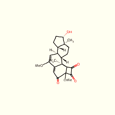 COC1=C[C@H]2[C@@H]3CC[C@H](O)[C@@]3(C)CC[C@@H]2[C@]2(C)C1=CC(=O)C1(OC)C(=O)C(=O)C12